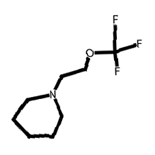 FC(F)(F)OCCN1CCCCC1